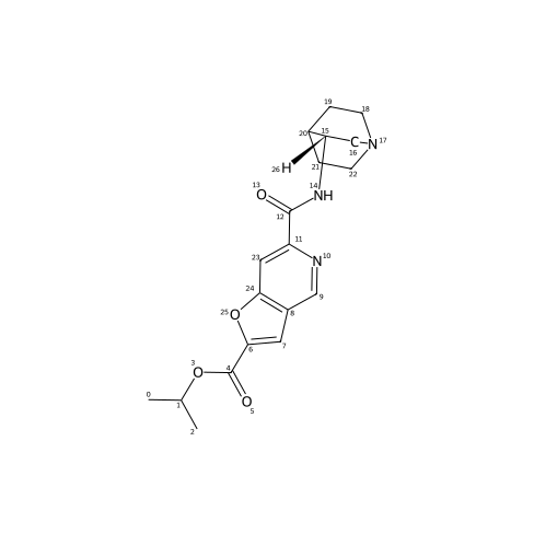 CC(C)OC(=O)c1cc2cnc(C(=O)N[C@H]3CN4CCC3CC4)cc2o1